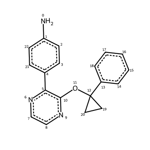 Nc1ccc(-c2nccnc2OC2(c3ccccc3)CC2)cc1